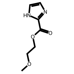 COCCOC(=O)c1ncc[nH]1